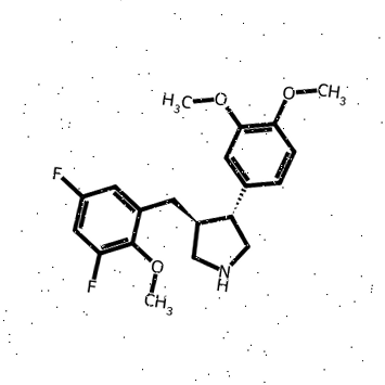 COc1ccc([C@@H]2CNC[C@H]2Cc2cc(F)cc(F)c2OC)cc1OC